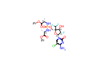 CC(C)OC(=O)[C@H](C)NP(=O)(N[C@@H](C)C(=O)OC(C)C)OC[C@@]1(C(F)F)O[C@@H](n2cc(Cl)c(N)nc2=O)[C@@H](F)[C@@H]1O